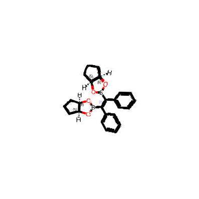 c1ccc(/C(B2O[C@H]3CCC[C@H]3O2)=C(/B2O[C@H]3CCC[C@H]3O2)c2ccccc2)cc1